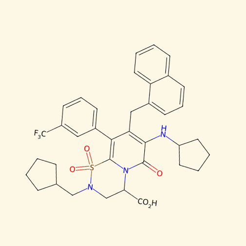 O=C(O)C1CN(CC2CCCC2)S(=O)(=O)c2c(-c3cccc(C(F)(F)F)c3)c(Cc3cccc4ccccc34)c(NC3CCCC3)c(=O)n21